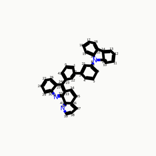 c1cc(-c2cccc(-n3c4ccccc4c4ccccc43)c2)cc(-c2c3ccccc3nc3c2ccc2cccnc23)c1